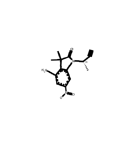 C#C[C@H](C)N1C(=O)C(C)(C)c2c(N)cc([N+](=O)[O-])cc21